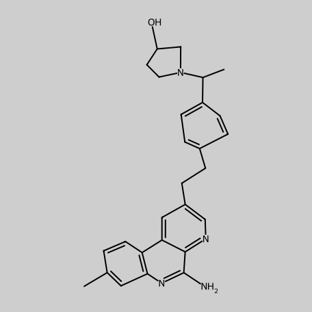 Cc1ccc2c(c1)nc(N)c1ncc(CCc3ccc(C(C)N4CCC(O)C4)cc3)cc12